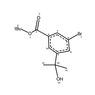 CC(C)(C)OC(=O)c1cc(Br)cc(C(C)(C)O)c1